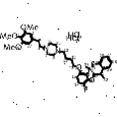 COc1cc(CCN2CCN(CCCCOc3ccc(F)cc3[N+]3(C)Sc4ccccc4C(C)C3=O)CC2)cc(OC)c1OC.Cl.Cl